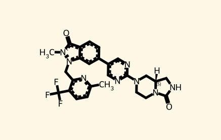 Cc1ccc(C(F)(F)F)c(Cn2c3cc(-c4cnc(N5CCN6C(=O)NC[C@H]6C5)nc4)ccc3c(=O)n2C)n1